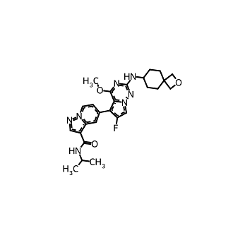 COc1nc(NC2CCC3(CC2)COC3)nn2cc(F)c(-c3ccn4ncc(C(=O)NC(C)C)c4c3)c12